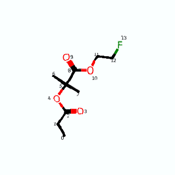 CCC(=O)OC(C)(C)C(=O)OCCF